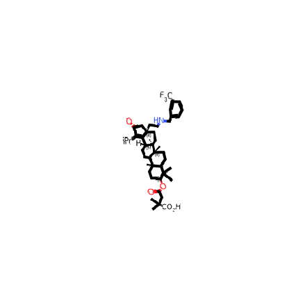 CC(C)C1=C2[C@H]3CCC4[C@@]5(C)CC[C@H](OC(=O)CC(C)(C)C(=O)O)C(C)(C)C5CC[C@@]4(C)[C@]3(C)CC[C@@]2(CCNCc2cccc(C(F)(F)F)c2)CC1=O